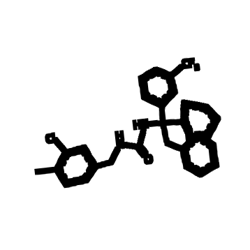 Cc1ccc(CNC(=O)NC(Cc2ccccc2)(c2cccc(C(F)(F)F)c2)c2ccccn2)cc1Cl